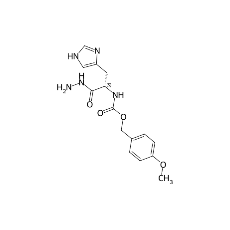 COc1ccc(COC(=O)N[C@@H](Cc2c[nH]cn2)C(=O)NN)cc1